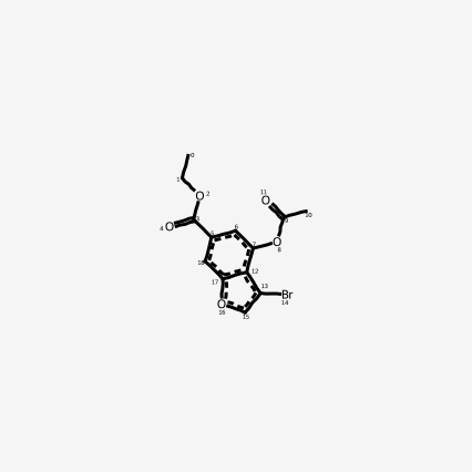 CCOC(=O)c1cc(OC(C)=O)c2c(Br)coc2c1